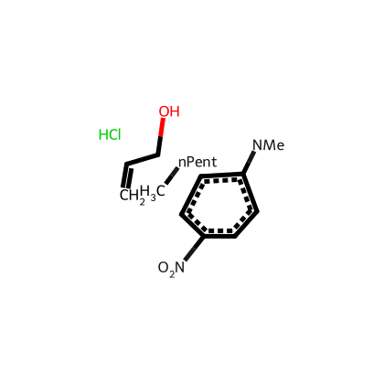 C=CCO.CCCCCC.CNc1ccc([N+](=O)[O-])cc1.Cl